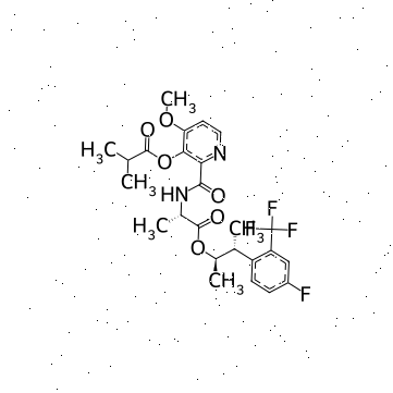 COc1ccnc(C(=O)N[C@@H](C)C(=O)O[C@H](C)[C@H](C)c2ccc(F)cc2C(F)(F)F)c1OC(=O)C(C)C